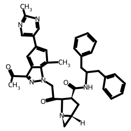 CC(=O)c1nn(CC(=O)C2[C@@H](C(=O)NC(Cc3ccccc3)Cc3ccccc3)C[C@@H]3C[N@@]23)c2c(C)cc(-c3cnc(C)nc3)cc12